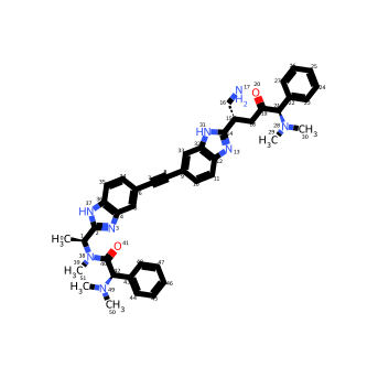 C[C@@H](c1nc2cc(C#Cc3ccc4nc([C@H](CN)CC(=O)[C@@H](c5ccccc5)N(C)C)[nH]c4c3)ccc2[nH]1)N(C)C(=O)[C@@H](c1ccccc1)N(C)C